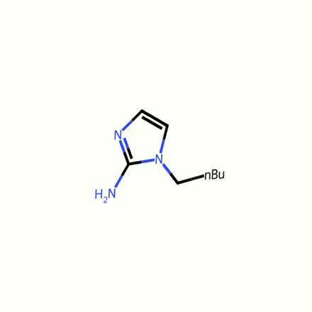 CCCCCn1ccnc1N